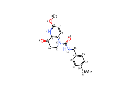 CCOc1ccc2c(n1)C(=O)CCN2C(=O)NCc1ccc(OC)cc1